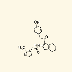 Cc1nccn1CC(=O)NC1=C(C(=O)Cc2ccc(O)cc2)C2=C(CCCC2)C1